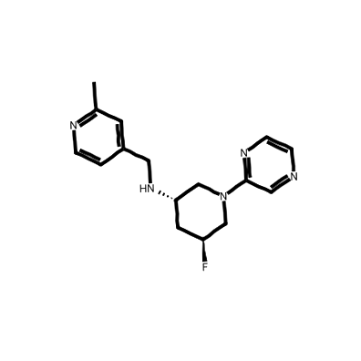 Cc1cc(CN[C@H]2C[C@H](F)CN(c3cnccn3)C2)ccn1